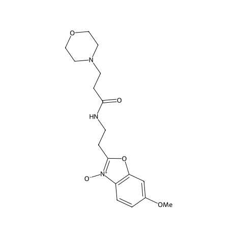 COc1ccc2c(c1)oc(CCNC(=O)CCN1CCOCC1)[n+]2[O-]